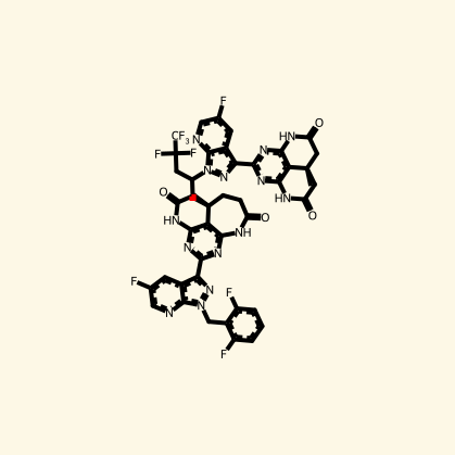 CC12CC(=O)Nc3nc(-c4nn(C(CC56CCC(=O)Nc7nc(-c8nn(Cc9c(F)cccc9F)c9ncc(F)cc89)nc(c75)NC(=O)C6)CC(F)(F)C(F)(F)F)c5ncc(F)cc45)nc(c31)NC(=O)C2